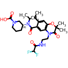 CCc1cc2c(cc1C(=O)N(C(C)C)[C@@H]1CCCN(C(=O)O)C1)N(CCNC(=O)C(F)F)C(=O)C(C)(C)O2